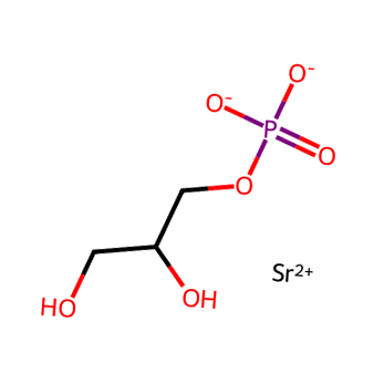 O=P([O-])([O-])OCC(O)CO.[Sr+2]